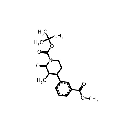 COC(=O)c1cccc(C2CCN(C(=O)OC(C)(C)C)C(=O)C2C)c1